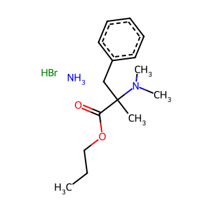 Br.CCCOC(=O)C(C)(Cc1ccccc1)N(C)C.N